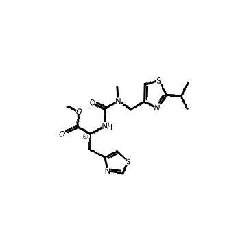 COC(=O)[C@H](Cc1cscn1)NC(=O)N(C)Cc1csc(C(C)C)n1